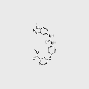 COC(=O)c1cc(Oc2ccc(NC(=O)Nc3ccc4c(cnn4C)c3)cc2)ccn1